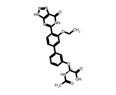 CCOc1cc(-c2cccc(O[C@H](NC(C)=O)C(=O)O)c2)ccc1-c1nc2[nH]nnc2c(=O)[nH]1